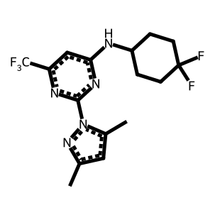 Cc1cc(C)n(-c2nc(NC3CCC(F)(F)CC3)cc(C(F)(F)F)n2)n1